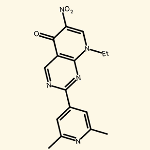 CCn1cc([N+](=O)[O-])c(=O)c2cnc(-c3cc(C)nc(C)c3)nc21